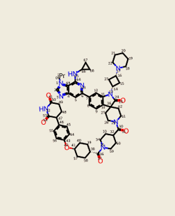 CC(C)n1cnc2cc(-c3ccc4c(c3)N([C@H]3C[C@@H](N5CCCCC5)C3)C(=O)C43CCN(C(=O)C4CCN(C(=O)[C@H]5CC[C@H](Oc6ccc(C7CCC(=O)NC7=O)cc6)CC5)CC4)CC3)nc(NC3CC3)c21